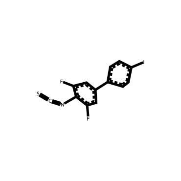 Fc1cc(-c2ccc(I)cc2)cc(F)c1N=C=S